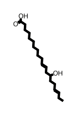 CCC=CCCC(O)CC=CCCCCCCCCCC(=O)O